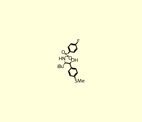 CC[C@H](C)[C@H](NS(=O)(=O)c1ccc(F)cc1)C(O)c1ccc(SC)cc1